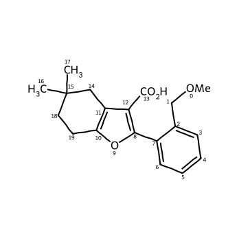 COCc1ccccc1-c1oc2c(c1C(=O)O)CC(C)(C)CC2